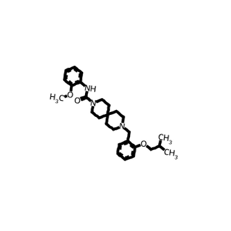 COc1ccccc1NC(=O)N1CCC2(CCN(Cc3ccccc3OCC(C)C)CC2)CC1